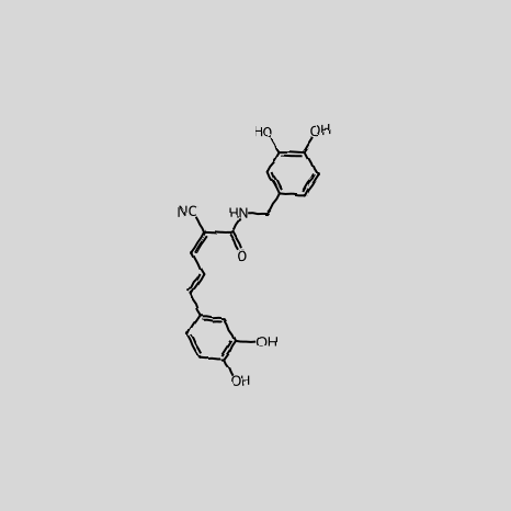 N#CC(=CC=Cc1ccc(O)c(O)c1)C(=O)NCc1ccc(O)c(O)c1